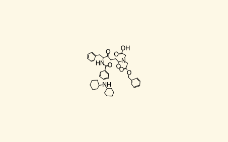 C1CCC(NC2CCCCC2)CC1.O=C(O)CN(CC(=O)OCc1ccccc1)C(=O)CCC(=O)C(Cc1ccccc1)NC(=O)c1ccccc1